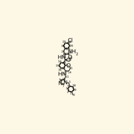 Cc1ccc(Cn2cncc2CNC2CCOc3c(C(=O)N[C@@H](Cc4ccc(Cl)cc4)C(N)=O)cccc32)cc1